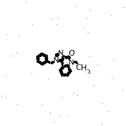 CCn1c(=O)c2ncn(Cc3ccccc3)c2c2ccccc21